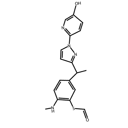 CNc1ccc(C(C)c2ccn(-c3ccc(O)cn3)n2)cc1SC=O